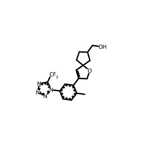 Cc1ccc(-n2nnnc2C(F)(F)F)cc1C1=CC2(CCC(CO)C2)OC1